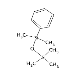 C[Si](C)(C)O[Si](C)(C)c1ccccc1